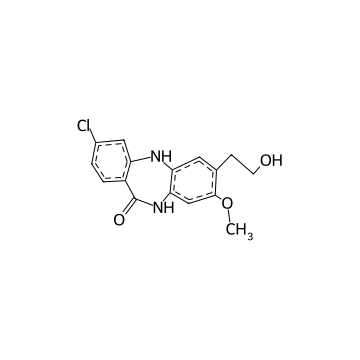 COc1cc2c(cc1CCO)Nc1cc(Cl)ccc1C(=O)N2